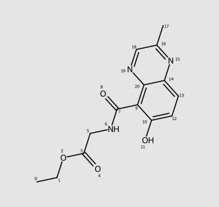 CCOC(=O)CNC(=O)c1c(O)ccc2nc(C)cnc12